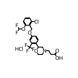 Cl.O=C(O)CCN1CCOC(c2ccc(OCc3c(Cl)cccc3OC(F)F)cc2C(F)(F)F)C1